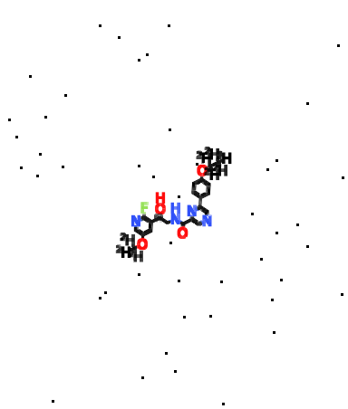 [2H]C([2H])([2H])Oc1cnc(F)c([C@H](O)CNC(=O)c2cncc(-c3ccc(OC([2H])([2H])C([2H])([2H])[2H])cc3)n2)c1